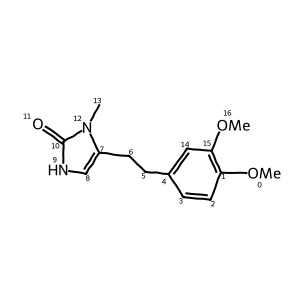 COc1ccc(CCc2c[nH]c(=O)n2C)cc1OC